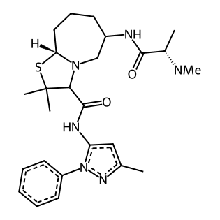 CN[C@@H](C)C(=O)NC1CCC[C@H]2SC(C)(C)C(C(=O)Nc3cc(C)nn3-c3ccccc3)N2C1